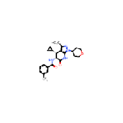 O=C(N[C@H]1C(=O)Nc2c(c(C(=O)O)nn2C2CCOCC2)[C@H]1C1CC1)c1cccc(C(F)(F)F)c1